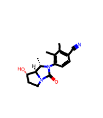 Cc1c(C#N)ccc(N2C(=O)N3CC[C@H](O)[C@H]3[C@@H]2C)c1C